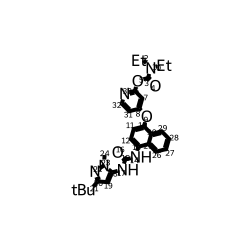 CCN(CC)C(=O)Oc1cc(Oc2ccc(NC(=O)Nc3cc(C(C)(C)C)nn3C)c3ccccc23)ccn1